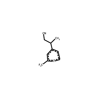 CC(CC#N)c1cccc(C(F)(F)F)c1